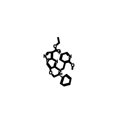 CCOC(=O)c1cnn2cc3c(nc12)N(Cc1cc(F)cnc1OC)[C@H](c1ccccc1)CO3